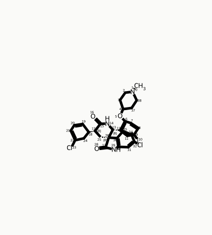 CN1CCC(Oc2ccc(I)cc2[C@H]2NC(=O)[C@@H](C3C=CC=C(Cl)C3)C[C@]23C(=O)Nc2cc(Cl)ccc23)CC1